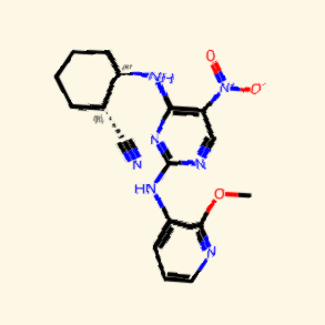 COc1ncccc1Nc1ncc([N+](=O)[O-])c(N[C@@H]2CCCC[C@H]2C#N)n1